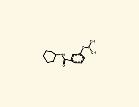 O=C(NC1CCCCC1)c1cccc(OB(O)O)c1